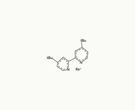 CC(C)(C)c1ccnc(-c2cc(C(C)(C)C)ccn2)c1.[Re+]